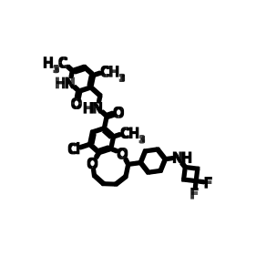 Cc1cc(C)c(CNC(=O)c2cc(Cl)c3c(c2C)OC(C2CCC(NC4CC(F)(F)C4)CC2)CCCCO3)c(=O)[nH]1